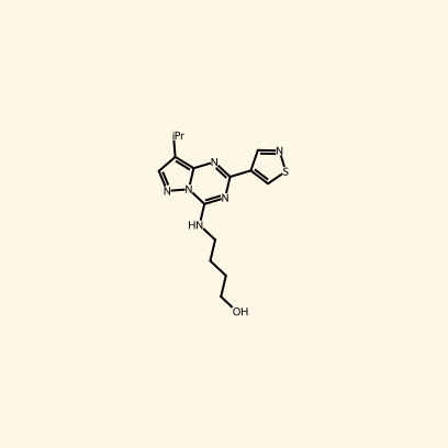 CC(C)c1cnn2c(NCCCCO)nc(-c3cnsc3)nc12